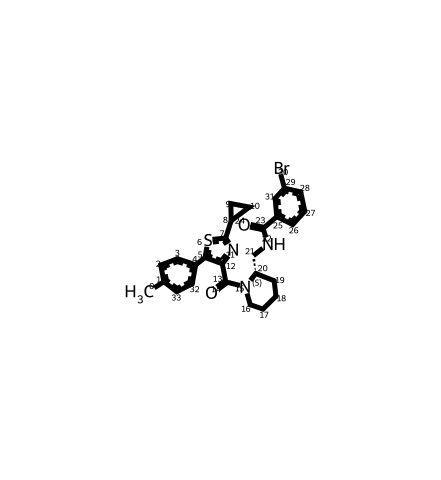 Cc1ccc(-c2sc(C3CC3)nc2C(=O)N2CCCC[C@H]2CNC(=O)c2cccc(Br)c2)cc1